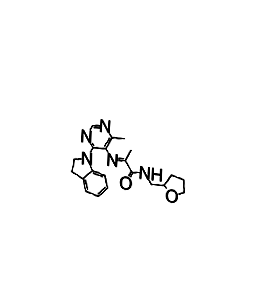 C/C(=N\c1c(C)ncnc1N1CCc2ccccc21)C(=O)NCC1CCCO1